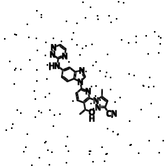 Cc1cc(C#N)nn1-c1nc(-n2cnc3cc(Nc4nccnn4)ccc32)ccc1C(C)O